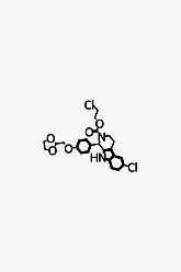 O=C(OCCCl)N1CCc2c([nH]c3ccc(Cl)cc23)C1c1ccc(OCC2OCCO2)cc1